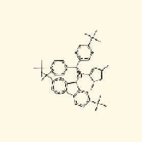 CC1=CC(C)[C]([Zr](=[C](c2ccc(C(C)(C)C)cc2)c2ccc(C(C)(C)C)cc2)[CH]2c3cc(C(C)(C)C)ccc3-c3ccc(C(C)(C)C)cc32)=C1